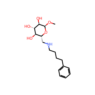 CO[C@H]1O[C@H](CNCCCCc2ccccc2)[C@@H](O)[C@H](O)[C@H]1O